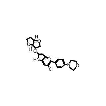 Clc1cc2[nH]c(O[C@@H]3CO[C@@H]4CCO[C@@H]43)cc2nc1-c1ccc(N2CCOCC2)cc1